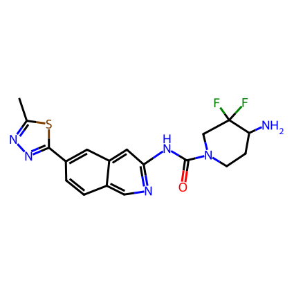 Cc1nnc(-c2ccc3cnc(NC(=O)N4CCC(N)C(F)(F)C4)cc3c2)s1